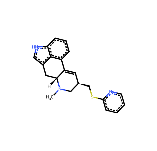 CN1C[C@H](CSc2ccccn2)C=C2c3cccc4[nH]cc(c34)C[C@H]21